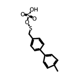 Cc1ccc(-c2ccc(CSOS(=O)(=O)O)cc2)cc1